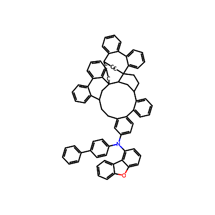 c1ccc(-c2ccc(N(c3ccc4c(c3)CCC3CC5(CCC6CCC7(CCC(CC75)c5ccccc5-4)c4ccccc4-c4ccccc46)c4ccccc4-c4ccccc43)c3cccc4oc5ccccc5c34)cc2)cc1